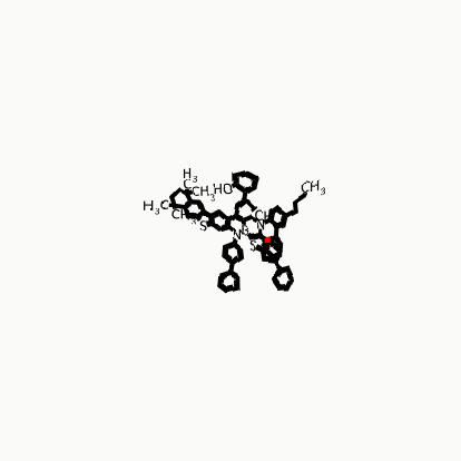 C#C/C(=C\C1=C2CN(c3ccc(CCCC)cc3-c3ccccc3)c3c(sc4cc(-c5ccccc5)ccc34)B2N(c2ccc(-c3ccccc3)cc2)c2cc3sc4cc5c(cc4c3cc21)C(C)(C)CCC5(C)C)c1ccccc1O